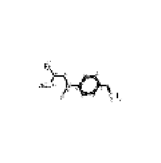 C=Cc1ccc(N(I)CC(CC)CCCC)cc1